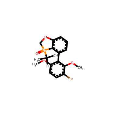 COc1ccc(Br)c(OC)c1-c1cccc2c1P(=O)(C(C)(C)C)CO2